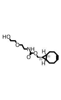 O=C(NCCOCCO)OC[C@@H]1[C@@H]2CCC#CCC[C@@H]21